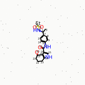 CCS(=O)(=O)NC(C)c1ccc(NC(=O)c2c[nH]c3c2C(=O)CCC3)cc1